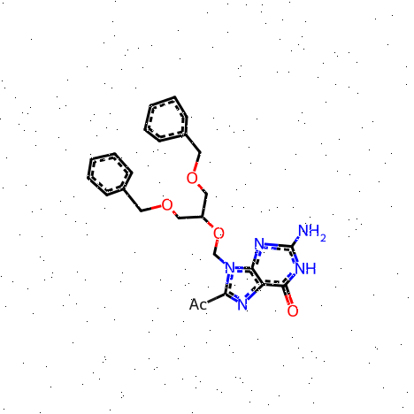 CC(=O)c1nc2c(=O)[nH]c(N)nc2n1COC(COCc1ccccc1)COCc1ccccc1